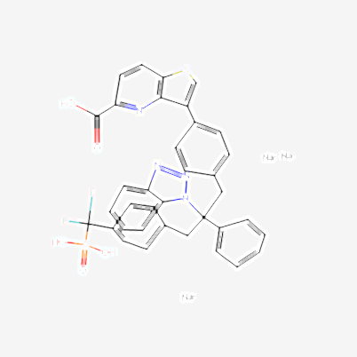 O=C(O)c1ccc2scc(-c3ccc(CC(Cc4ccc(C(F)(F)P(=O)(O)O)cc4)(c4ccccc4)n4nnc5ccccc54)cc3)c2n1.[Na].[Na].[Na]